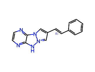 C(=C\c1cn2c3nccnc3[nH][n+]2c1)/c1ccccc1